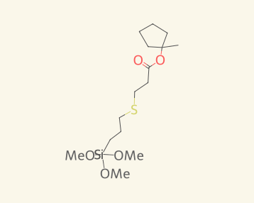 CO[Si](CCCSCCC(=O)OC1(C)CCCC1)(OC)OC